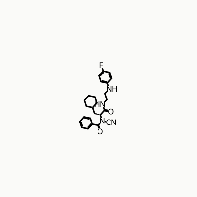 N#CN(C(=O)c1ccccc1)[C@@H](CC1CCCCC1)C(=O)NCCNc1ccc(F)cc1